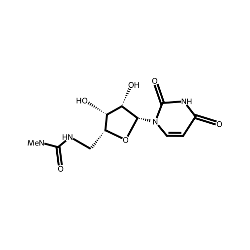 CNC(=O)NC[C@H]1O[C@@H](n2ccc(=O)[nH]c2=O)[C@@H](O)[C@H]1O